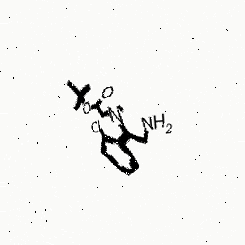 CN(CC(=O)OC(C)(C)C)C(CN)c1ccccc1Cl